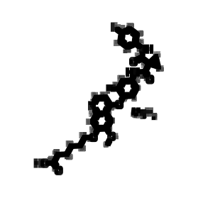 COc1cc2c(Oc3ccc(NC(=O)C4(C(=O)Nc5ccc(F)cc5)CC4)cc3F)ccnc2cc1OCCCCCC(=O)O.[MgH2]